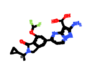 C[C@@H](C1CC1)N1Cc2cc(-c3ccn4nc(N)c(C(O)O)c4n3)cc(OC(F)F)c2C1=O